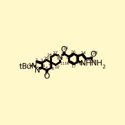 CC(C)(C)n1cc2c(n1)C(=O)CC1(CCN(C(=O)c3ccc4[nH]c(C(N)=O)cc4c3)CC1)C2